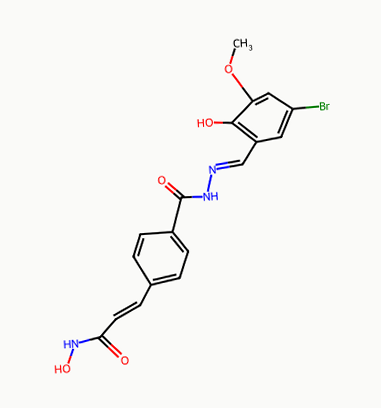 COc1cc(Br)cc(/C=N/NC(=O)c2ccc(/C=C/C(=O)NO)cc2)c1O